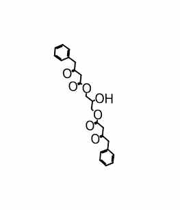 O=C(CC(=O)OCC(O)COC(=O)CC(=O)Cc1ccccc1)Cc1ccccc1